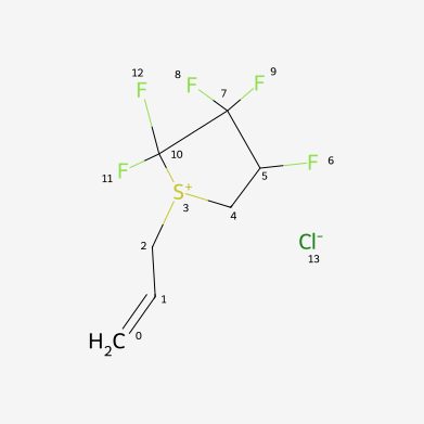 C=CC[S+]1CC(F)C(F)(F)C1(F)F.[Cl-]